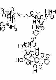 COc1cccc2c1C(=O)c1c(O)c3c(c(O)c1C2=O)C[C@@](O)(C(=O)CO)C[C@@H]3OC1CC(NC(=O)OCc2ccc(NC(=O)[C@H](CCCNC(N)=O)NC(=O)[C@@H](NC(=O)CCCCSCC(NC(=O)CC[C@H](N)C(=O)O)C(=O)NCC(=O)O)C(C)C)cc2)C(O)C(C)O1